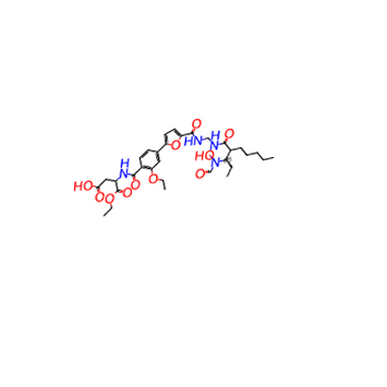 CCCCCC(C(=O)NCNC(=O)c1ccc(-c2ccc(C(=O)NC(CC(=O)O)C(=O)OCC)c(OCC)c2)o1)[C@@H](CC)N(O)C=O